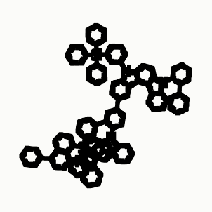 c1ccc(-c2ccc(-n3c4ccccc4c4c5c6ccccc6n(-c6ccc(-c7ccc8c(c7)c7c9c%10ccccc%10n(-c%10ccccc%10-c%10ccccc%10)c9ccc7n8-c7cccc([Si](c8ccccc8)(c8ccccc8)c8ccccc8)c7)cc6-c6cccc([Si](c7ccccc7)(c7ccccc7)c7ccccc7)c6)c5ccc43)cc2)cc1